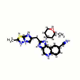 Cc1nn2cc(Cc3nc4cnc5ccc(C#N)cc5c4n3[C@@H]3CCO[C@H](C)C3)nc2s1